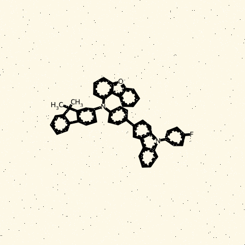 CC1(C)c2ccccc2-c2ccc(N(c3ccc(-c4ccc5c(c4)c4ccccc4n5-c4ccc(F)cc4)cc3)c3cccc4oc5ccccc5c34)cc21